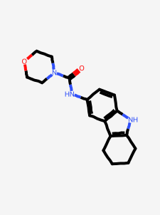 O=C(Nc1ccc2[nH]c3c(c2c1)CCCC3)N1CCOCC1